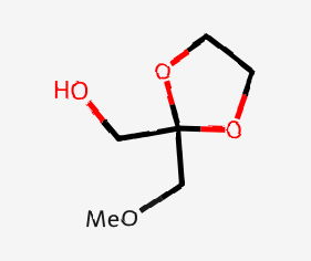 COCC1(CO)OCCO1